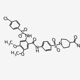 COc1cc(NS(=O)(=O)c2ccc(Cl)cc2)c(C(=O)Nc2ccc(S(=O)(=O)N3CCC(C(N)=O)CC3)cc2)cc1OC